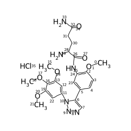 COc1ccc(-c2cnnn2-c2cc(OC)c(OC)c(OC)c2)cc1NC(=O)C(N)CCC(N)=O.Cl